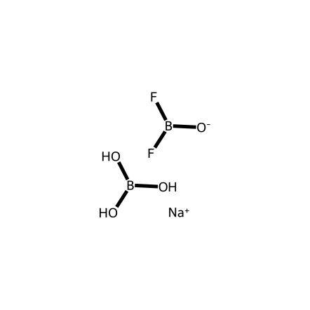 OB(O)O.[Na+].[O-]B(F)F